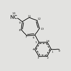 Cc1cccc(C2=CC=C(C#N)CC=C2)c1